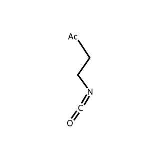 CC(=O)CCN=C=O